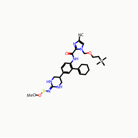 [C-]#[N+]c1cn(COCC[Si](C)(C)C)c(C(=O)Nc2ccc(C3CNC(=NSOOC)NC3)cc2C2=CCCCC2)n1